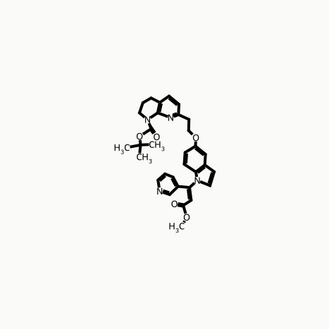 COC(=O)C=C(c1cccnc1)n1ccc2cc(OCCc3ccc4c(n3)N(C(=O)OC(C)(C)C)CCC4)ccc21